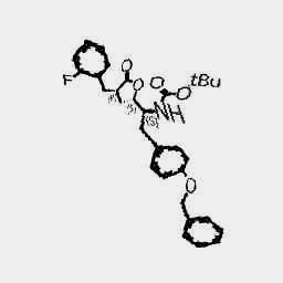 CC(C)(C)OC(=O)N[C@@H](Cc1ccc(OCc2ccccc2)cc1)[C@@H]1C[C@@H](Cc2ccccc2F)C(=O)O1